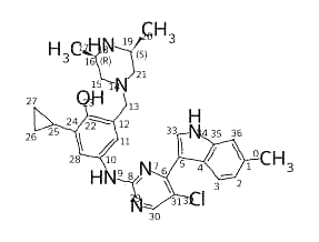 Cc1ccc2c(-c3nc(Nc4cc(CN5C[C@@H](C)N[C@@H](C)C5)c(O)c(C5CC5)c4)ncc3Cl)c[nH]c2c1